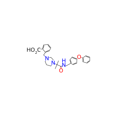 CC(C)(C(=O)NCc1ccc(Oc2ccccc2)cc1)N1CCCN(Cc2ccccc2C(=O)O)CC1